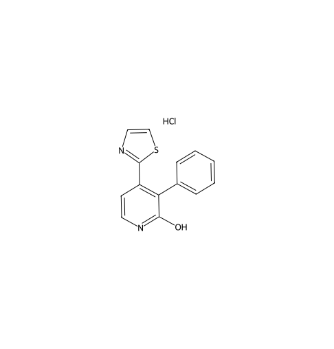 Cl.Oc1nccc(-c2nccs2)c1-c1ccccc1